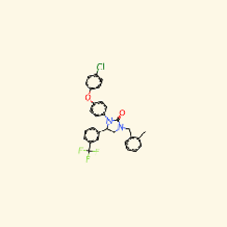 Cc1ccccc1CN1CC(c2cccc(C(F)(F)F)c2)N(c2ccc(Oc3ccc(Cl)cc3)cc2)C1=O